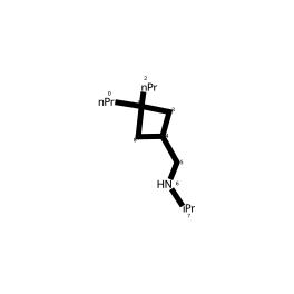 CCCC1(CCC)CC(CNC(C)C)C1